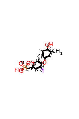 Cc1cc(Oc2c(C)cc(CP(=O)(O)O)cc2I)ccc1O